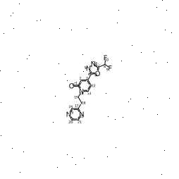 O=c1cc(-c2nnc(C(F)F)o2)ccn1CCc1cnccn1